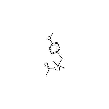 COc1ccc(CC(C)(C)NC(C)=O)cc1